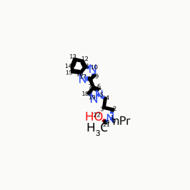 CCCN(CCCn1cc(-c2cnc3ccccc3n2)cn1)C(C)O